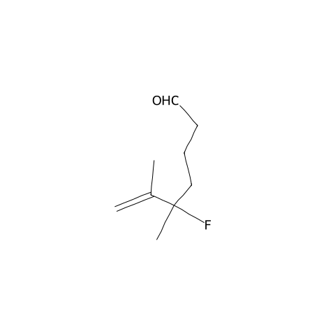 C=C(C)C(C)(F)CCCC=O